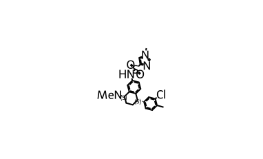 CN[C@H]1CC[C@@H](c2ccc(C)c(Cl)c2)c2ccc(NS(=O)(=O)c3cn(C)cn3)cc21